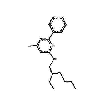 CCCCC(CC)CNc1cc(C)nc(-c2ccccc2)n1